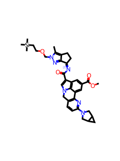 COC(=O)c1cc2c3c(c1)c(C(=O)/N=C1/CCc4c1nn(COCC[Si](C)(C)C)c4C)cn3Cc1ccc(N3CC4CC4C3)nc1-2